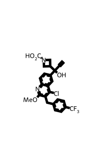 C#CC(O)(c1ccc2nc(OC)c(Cc3ccc(C(F)(F)F)cc3)c(Cl)c2c1)C1CN(C(=O)O)C1